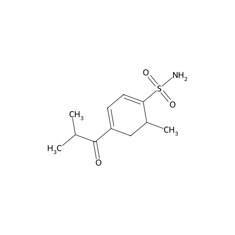 CC(C)C(=O)C1=CC=C(S(N)(=O)=O)C(C)C1